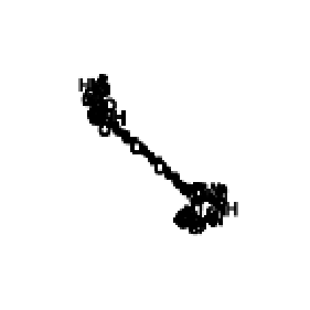 C=C1CCC(N2C(=O)c3cccc(NC(=O)CCCCCOCCCCCOCCCCCCN4CCN(c5cc(Nc6ncc(C(=O)Nc7c(C)cccc7Cl)s6)nc(C)n5)CC4)c3C2=O)C(=O)N1